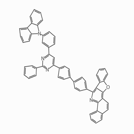 c1ccc(-c2nc(-c3ccc(-c4ccc(-c5nc6c7ccccc7ccc6c6oc7ccccc7c56)cc4)cc3)cc(-c3cccc(-n4c5ccccc5c5ccccc54)c3)n2)cc1